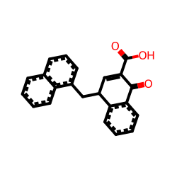 O=C(O)C1=CC(Cc2cccc3ccccc23)c2ccccc2C1=O